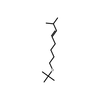 CC(C)/C=C/CCCCOC(C)(C)C